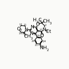 CCN1CC(C)(C)Oc2nc(N3CCOC[C@@H]3C)nc(-c3ccc(N)cc3)c2C1=O